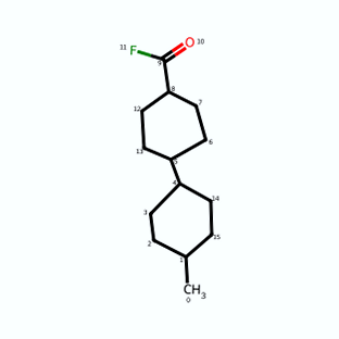 CC1CCC(C2CCC(C(=O)F)CC2)CC1